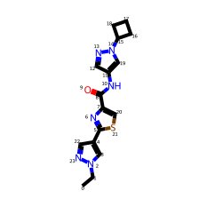 CCn1cc(-c2nc(C(=O)Nc3cnn(C4CCC4)c3)cs2)cn1